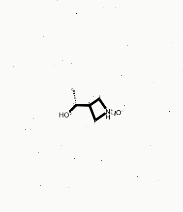 C[C@@H](O)C1C[NH+]([O-])C1